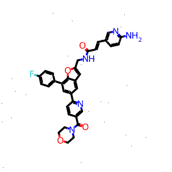 Nc1ccc(/C=C/C(=O)NCc2cc3cc(-c4ccc(C(=O)N5CCOCC5)cn4)cc(-c4ccc(F)cc4)c3o2)cn1